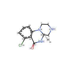 O=C1N[C@@H]2CNCCN2c2cccc(Cl)c21